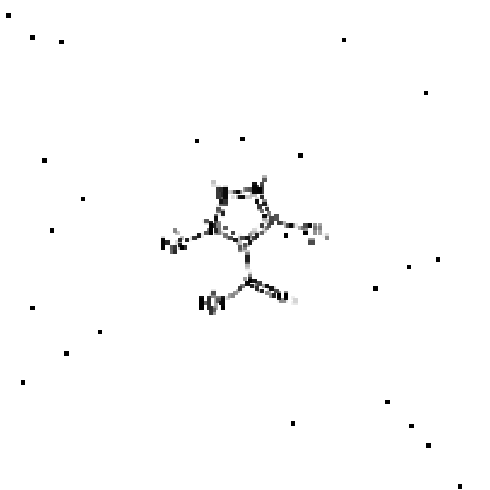 Cc1nnn(C)c1C(N)=O